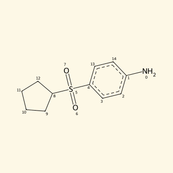 Nc1ccc(S(=O)(=O)C2CCCC2)cc1